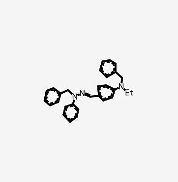 CCN(Cc1ccccc1)c1ccc(C=NN(Cc2ccccc2)c2ccccc2)cc1